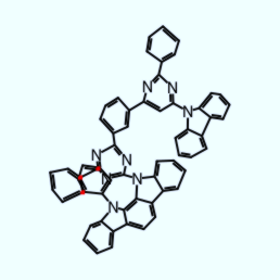 c1ccc(-c2nc(-c3cccc(-c4nc(-c5ccccc5)nc(-n5c6ccccc6c6ccc7c8ccccc8n(-c8ccccc8)c7c65)n4)c3)cc(-n3c4ccccc4c4ccccc43)n2)cc1